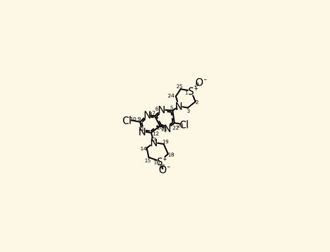 [O-][S+]1CCN(c2nc3nc(Cl)nc(N4CC[S+]([O-])CC4)c3nc2Cl)CC1